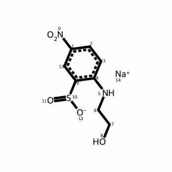 O=[N+]([O-])c1ccc(NCCO)c(S(=O)[O-])c1.[Na+]